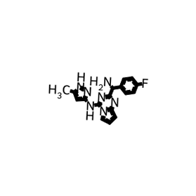 Cc1cc(Nc2nc(C(N)c3ccc(F)cc3)nc3cccn23)n[nH]1